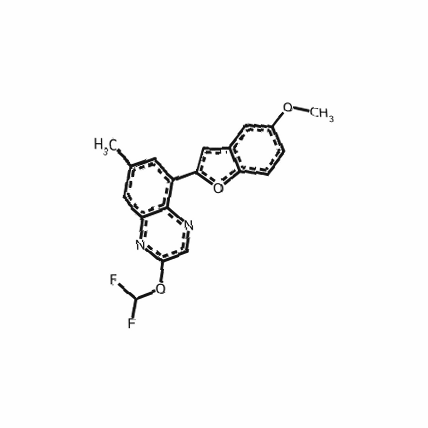 COc1ccc2oc(-c3cc(C)cc4nc(OC(F)F)cnc34)cc2c1